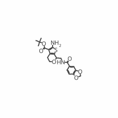 CC(C)(C)OC(=O)c1c(N)sc2c1CCOC2CNC(=O)c1ccc2c(c1)OCO2